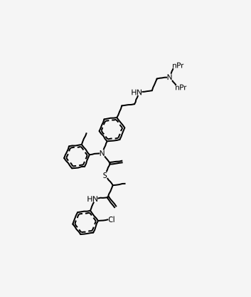 C=C(Nc1ccccc1Cl)C(C)SC(=C)N(c1ccc(CCNCCN(CCC)CCC)cc1)c1ccccc1C